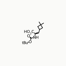 CC1(C)CC(/C=C(/NC(=O)OC(C)(C)C)C(=O)O)C1